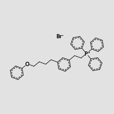 [Br-].c1ccc(OCCCCc2cccc(CC[P+](c3ccccc3)(c3ccccc3)c3ccccc3)c2)cc1